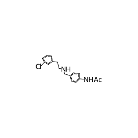 CC(=O)Nc1ccc(CNCCc2cccc(Cl)c2)cc1